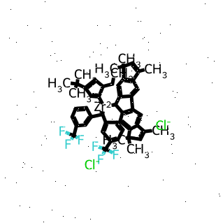 CCC1C=C(C(C)(C)C)C=[C]1[Zr+2](=[C](c1cccc(C(F)(F)F)c1)c1cccc(C(F)(F)F)c1)[CH]1c2cc3c(cc2-c2cc4c(cc21)C(C)(C)C=C4C)C(C)=CC3(C)C.[Cl-].[Cl-]